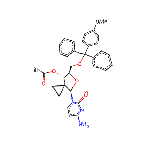 COc1ccc(C(OC[C@H]2O[C@@H](n3ccc(N)nc3=O)C3(CC3)[C@@H]2OC(=O)C(C)C)(c2ccccc2)c2ccccc2)cc1